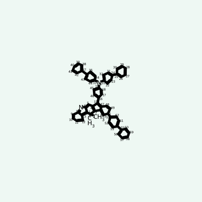 CC1(C)C2=C(C=C3N=c4ccccc4=C31)C(c1ccc(N(c3ccc(-c4ccccc4)cc3)c3ccc(-c4ccccc4)cc3)cc1)=C1C=CC(c3ccc(-c4ccccc4)cc3)C=C12